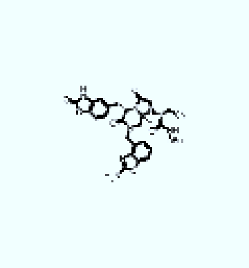 CCCCNC(=O)N(CC#N)N1CC(=O)N2[C@@H](Cc3ccc4oc(=O)[nH]c4c3)C(=O)N(Cc3cccc4sc(N)nc34)C[C@@H]21